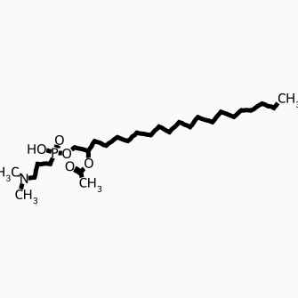 CCCCCCCCCCCCCCCCCCCC(COP(=O)(O)CCCN(C)C)OC(C)=O